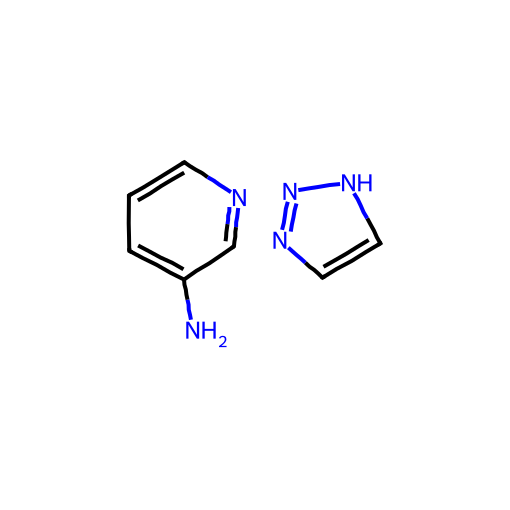 Nc1cccnc1.c1c[nH]nn1